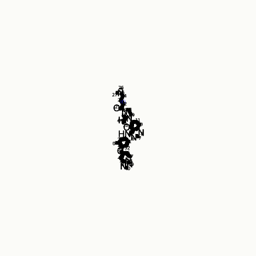 Cc1cc(Nc2ncnc3ccc4c(c23)OC[C@H]2CN(C(=O)/C=C/CN(C)C)CCN42)ccc1Oc1ccn2ncnc2c1